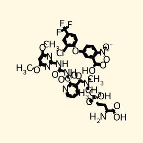 COc1cc(OC)nc(NC(=O)NS(=O)(=O)c2ncccc2C(=O)N(C)C)n1.CP(=O)(O)CCC(N)C(=O)O.O=C(O)c1cc(Oc2ccc(C(F)(F)F)cc2Cl)ccc1[N+](=O)[O-]